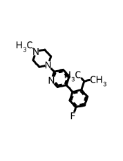 CC(C)c1ccc(F)cc1-c1ccc(N2CCN(C)CC2)nc1